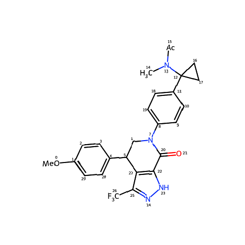 COc1ccc(C2CN(c3ccc(C4(N(C)C(C)=O)CC4)cc3)C(=O)c3[nH]nc(C(F)(F)F)c32)cc1